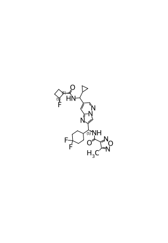 Cc1nonc1C(=O)N[C@H](c1cn2ncc(C(NC(=O)[C@@H]3CC[C@@H]3F)C3CC3)cc2n1)C1CCC(F)(F)CC1